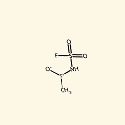 C[S+]([O-])NS(=O)(=O)F